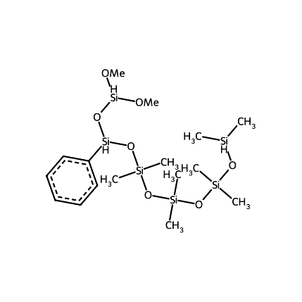 CO[SiH](OC)O[SiH](O[Si](C)(C)O[Si](C)(C)O[Si](C)(C)O[SiH](C)C)c1ccccc1